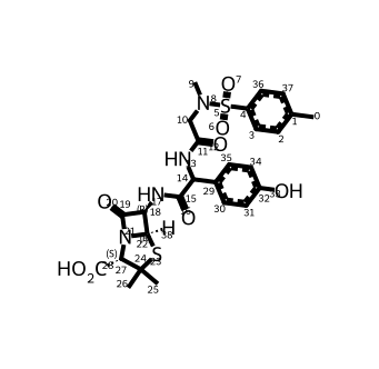 Cc1ccc(S(=O)(=O)N(C)CC(=O)NC(C(=O)N[C@@H]2C(=O)N3[C@@H]2SC(C)(C)[C@@H]3C(=O)O)c2ccc(O)cc2)cc1